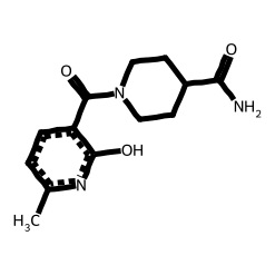 Cc1ccc(C(=O)N2CCC(C(N)=O)CC2)c(O)n1